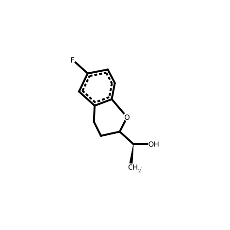 [CH2][C@H](O)C1CCc2cc(F)ccc2O1